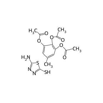 CC(=O)Oc1cc(C)cc(OC(C)=O)c1OC(C)=O.Nc1nnc(S)s1